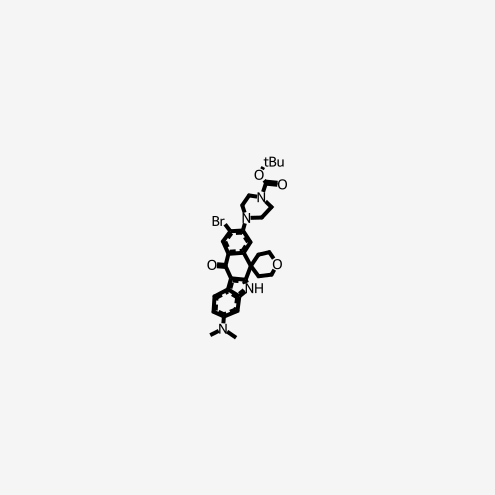 CN(C)c1ccc2c3c([nH]c2c1)C1(CCOCC1)c1cc(N2CCN(C(=O)OC(C)(C)C)CC2)c(Br)cc1C3=O